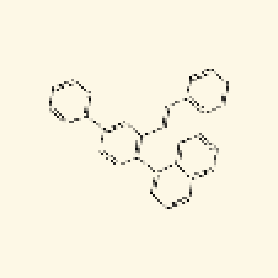 C(=Cc1cc(-c2ccccc2)ccc1-c1cccc2ccccc12)c1ccccc1